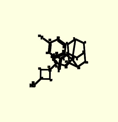 CC(=O)[C@]12CC3CC(C1)[C@@](CC(=O)N1CC(O)C1)(c1ccc(F)cc1)C(C3)C2